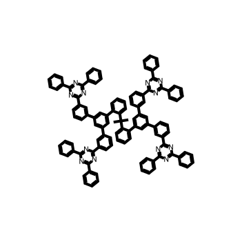 CC(C)(c1ccccc1-c1cc(-c2cccc(-c3nc(-c4ccccc4)nc(-c4ccccc4)n3)c2)cc(-c2cccc(-c3nc(-c4ccccc4)nc(-c4ccccc4)n3)c2)c1)c1ccccc1-c1cc(-c2cccc(-c3nc(-c4ccccc4)nc(-c4ccccc4)n3)c2)cc(-c2cccc(-c3nc(-c4ccccc4)nc(-c4ccccc4)n3)c2)c1